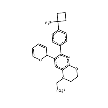 NC1(c2ccc(-c3nc4c(cc3C3C=CC=CO3)N(CC(=O)O)CCO4)cc2)CCC1